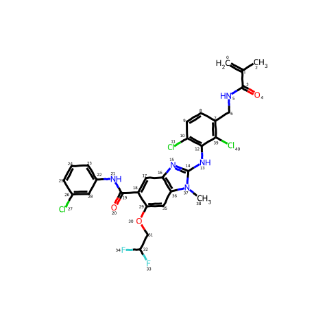 C=C(C)C(=O)NCc1ccc(Cl)c(Nc2nc3cc(C(=O)Nc4cccc(Cl)c4)c(OCC(F)F)cc3n2C)c1Cl